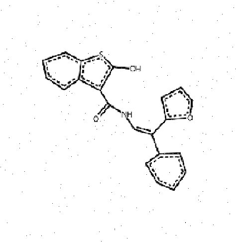 O=C(NC=C(c1ccccc1)c1ccco1)c1c(O)sc2ccccc12